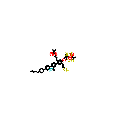 C=C(C)C(=O)OCCCc1cc(OCC(CS)(CS)COC(=O)C(=C)C)c(CCCS)cc1-c1ccc(-c2ccc(C3CCC(CCCCC)CC3)cc2F)c(CC)c1